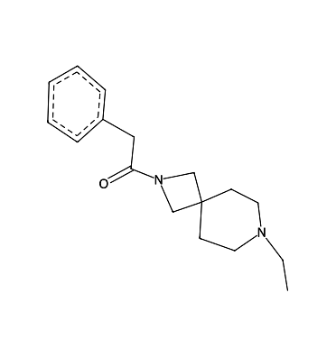 CCN1CCC2(CC1)CN(C(=O)Cc1ccccc1)C2